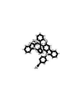 N#Cc1ccc(-n2c3ccccc3c3cc4c(cc32)C2(c3ccccc3O4)c3ccccc3-n3c4ccccc4c4cccc2c43)cc1